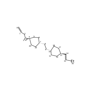 C=CCO[C@H]1CC[C@H](CC[C@H]2CC[C@H](C=CCC)CC2)CC1